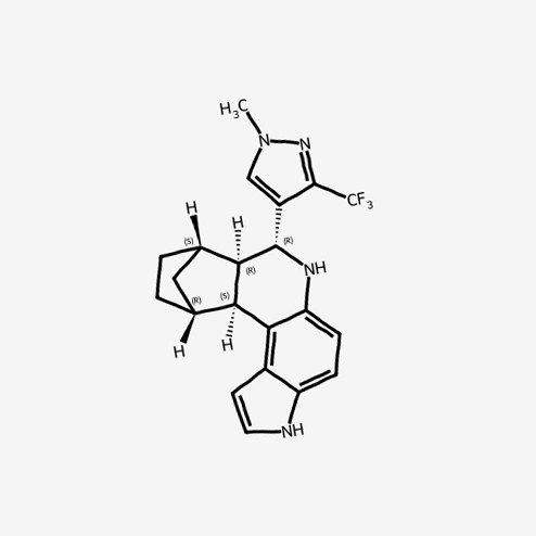 Cn1cc([C@@H]2Nc3ccc4[nH]ccc4c3[C@H]3[C@@H]4CC[C@@H](C4)[C@H]32)c(C(F)(F)F)n1